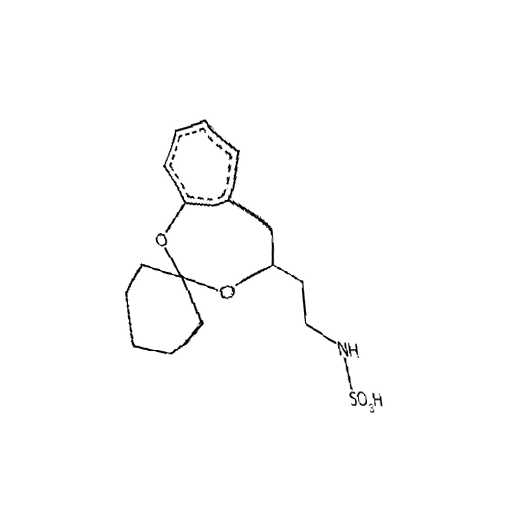 O=S(=O)(O)NCCC1Cc2ccccc2OC2(CCCCC2)O1